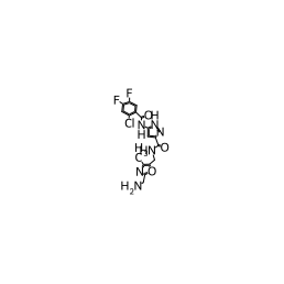 Cc1nc(CN)oc1CNC(=O)c1cc(NC(=O)c2cc(F)c(F)cc2Cl)[nH]n1